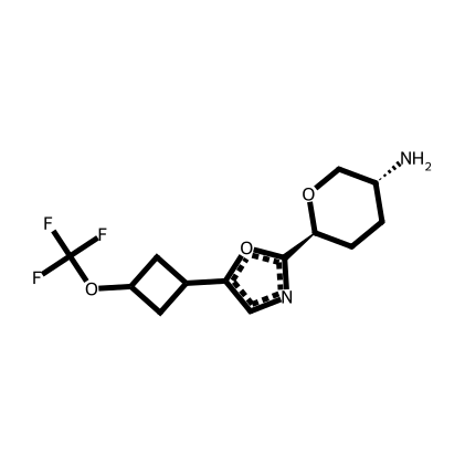 N[C@@H]1CC[C@@H](c2ncc(C3CC(OC(F)(F)F)C3)o2)OC1